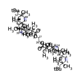 CC(C)(C)CC(C)(C)/C=C\C(C)(C)CC(C)(C)/C=C\C(C)(C)CC(C)(C)C(=O)OCCOC(=O)C(C)(C)CC(C)(C)/C=C\C(C)(C)CC(C)(C)/C=C\C(C)(C)CC(C)(C)C